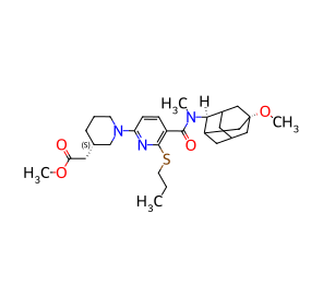 CCCSc1nc(N2CCC[C@@H](CC(=O)OC)C2)ccc1C(=O)N(C)[C@H]1C2CC3CC1C[C@](OC)(C3)C2